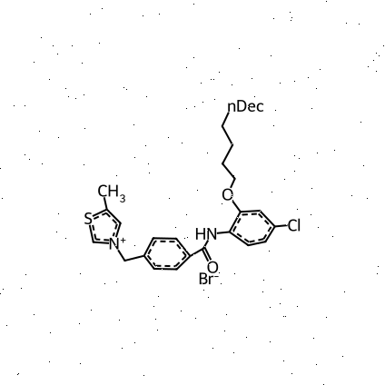 CCCCCCCCCCCCCCOc1cc(Cl)ccc1NC(=O)c1ccc(C[n+]2csc(C)c2)cc1.[Br-]